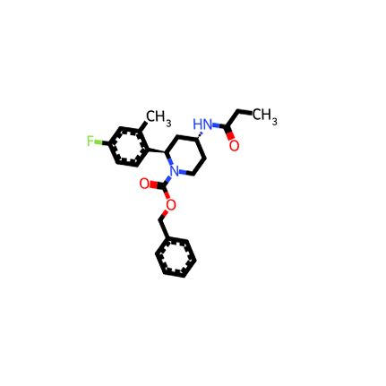 CCC(=O)N[C@@H]1CCN(C(=O)OCc2ccccc2)[C@@H](c2ccc(F)cc2C)C1